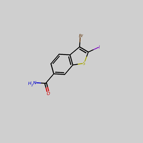 NC(=O)c1ccc2c(Br)c(I)sc2c1